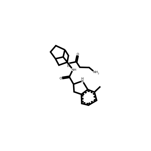 Cc1cccc2c1NC(C(=O)NC1CC3CCC(C1)C3NC(=O)CCN)C2